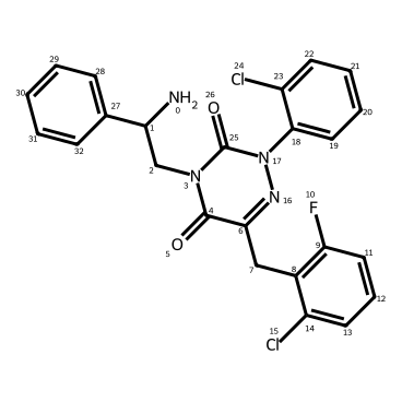 NC(Cn1c(=O)c(Cc2c(F)cccc2Cl)nn(-c2ccccc2Cl)c1=O)c1ccccc1